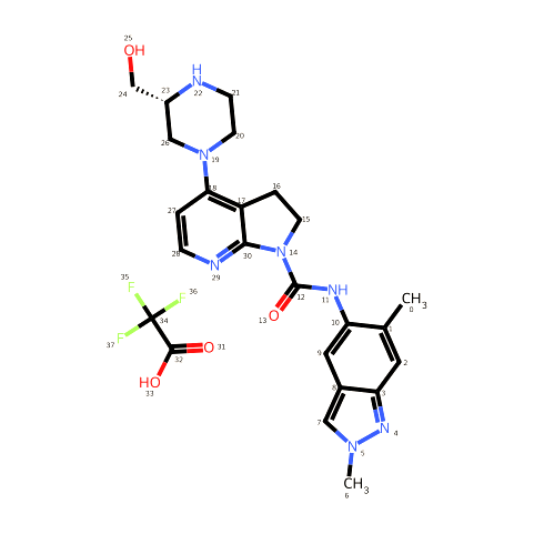 Cc1cc2nn(C)cc2cc1NC(=O)N1CCc2c(N3CCN[C@@H](CO)C3)ccnc21.O=C(O)C(F)(F)F